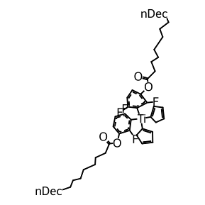 CCCCCCCCCCCCCCCCCC(=O)Oc1ccc(F)[c]([Ti]([C]2=CC=CC2)([C]2=CC=CC2)[c]2c(F)ccc(OC(=O)CCCCCCCCCCCCCCCCC)c2F)c1F